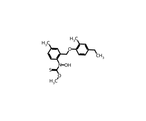 CCc1ccc(OCc2cc(C)ccc2N(O)C(=S)OC)c(C)c1